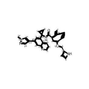 Cc1ccc(OC[C@@H]2CCN2)cc1C(=O)NC1(c2cc(-c3cnn(C)c3)cc3ncccc23)CC1